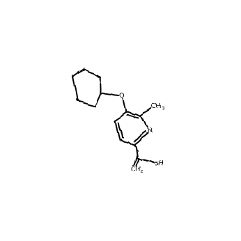 C=C(S)c1ccc(OC2CCCCC2)c(C)n1